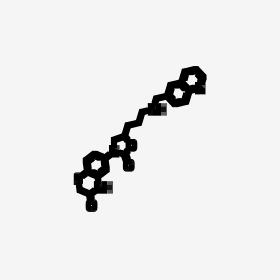 O=C1CSc2ccc(N3CC(CCCNCc4ccc5ncccc5c4)OC3=O)cc2N1